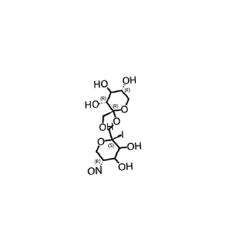 O=N[C@@H]1CO[C@](I)(CO[C@@]2(CO)OC[C@@H](O)C(O)[C@H]2O)C(O)C1O